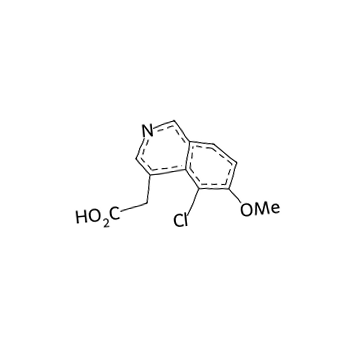 COc1ccc2cncc(CC(=O)O)c2c1Cl